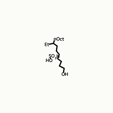 CCCCCCCCC(CC)CCCCCCCO.O=S(=O)(O)O